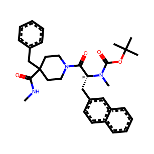 CNC(=O)C1(Cc2ccccc2)CCN(C(=O)[C@@H](Cc2ccc3ccccc3c2)N(C)C(=O)OC(C)(C)C)CC1